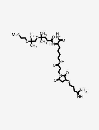 CNCCOC(C)(C)COC(C)(C)CCC(=O)NC(CCCCNC(=O)CCN1C(=O)CC(SCCCC(=N)N)C1=O)C(N)=O